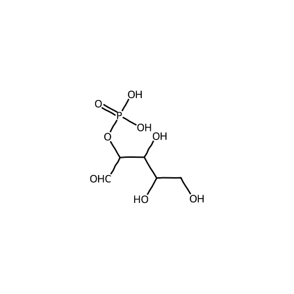 O=CC(OP(=O)(O)O)C(O)C(O)CO